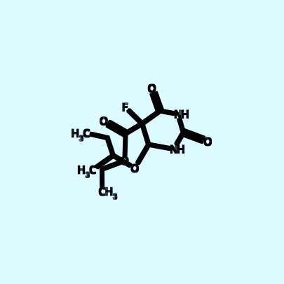 CCOC(=O)C1(F)C(=O)NC(=O)NC1OC(C)CC